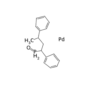 CC(CC([PH2]=O)c1ccccc1)c1ccccc1.[Pd]